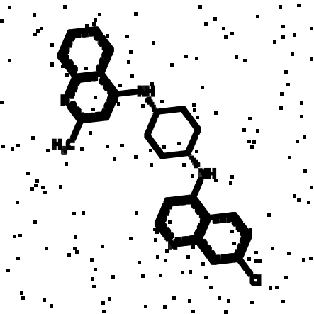 Cc1cc(N[C@H]2CC[C@@H](Nc3ccnc4cc(Cl)ccc34)CC2)c2ccccc2n1